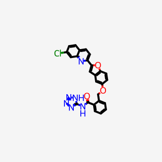 O=C(Nc1nnn[nH]1)c1ccccc1COc1ccc2oc(-c3ccc4ccc(Cl)cc4n3)cc2c1